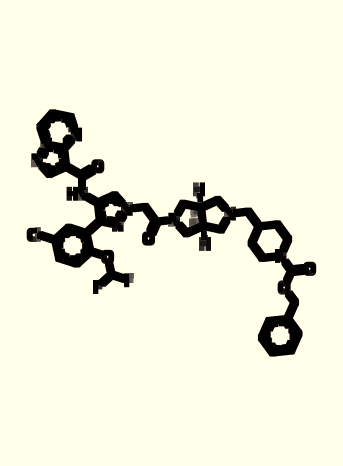 O=C(Nc1cn(CC(=O)N2C[C@H]3CN(CC4CCN(C(=O)OCc5ccccc5)CC4)C[C@H]3C2)nc1-c1cc(Cl)ccc1OC(F)F)c1cnn2cccnc12